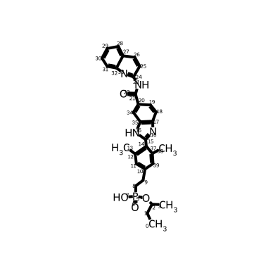 CCC(C)OP(=O)(O)CCc1cc(C)c(-c2nc3ccc(C(=O)Nc4ccc5ccccc5n4)cc3[nH]2)c(C)c1